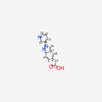 O=C(O)Cc1ccc2nn(-c3cccnc3)cc2c1